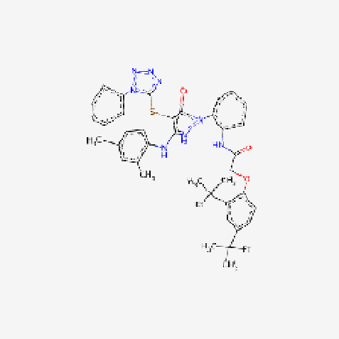 CCC(C)(C)c1ccc(OCC(=O)Nc2ccccc2-n2[nH]c(Nc3ccc(C)cc3C)c(Sc3nnnn3-c3ccccc3)c2=O)c(C(C)(C)CC)c1